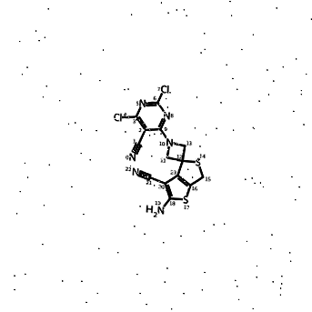 N#Cc1c(Cl)nc(Cl)nc1N1CC2(C1)SCc1sc(N)c(C#N)c12